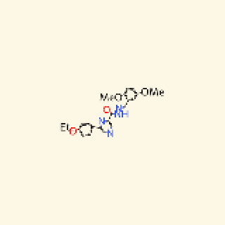 CCOc1ccc(-c2cncc(C(=O)N/N=C/c3cc(OC)ccc3OC)n2)cc1